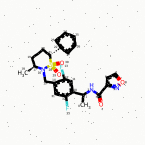 CC(NC(=O)c1ccon1)c1cc(F)c(CN2[C@@H](C)CC[C@H](c3ccccc3)S2(=O)=O)cc1F